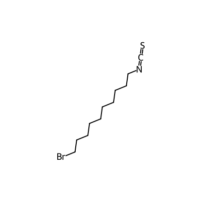 S=C=NCCCCCCCCCCBr